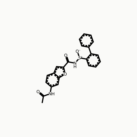 CC(=O)Nc1ccc2cc(C(=O)N[S+]([O-])c3ccccc3-c3ccccc3)oc2c1